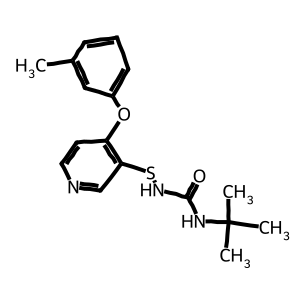 Cc1cccc(Oc2ccncc2SNC(=O)NC(C)(C)C)c1